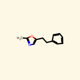 Cc1ncc(CCc2ccccc2)o1